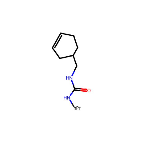 CCCNC(=O)NCC1CC=CCC1